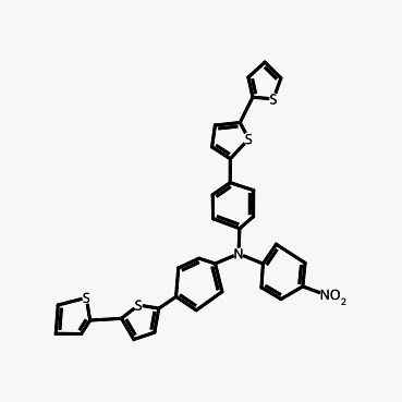 O=[N+]([O-])c1ccc(N(c2ccc(-c3ccc(-c4cccs4)s3)cc2)c2ccc(-c3ccc(-c4cccs4)s3)cc2)cc1